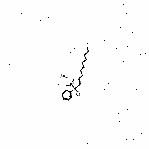 CCCCCCCCCCC(Cl)(c1ccccc1)N(C)C.Cl